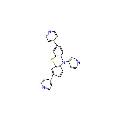 c1cc(-c2ccc3c(c2)Sc2cc(-c4ccncc4)ccc2N3c2ccncc2)ccn1